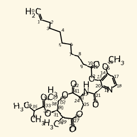 C=CCCCCCCCCC(=O)Oc1c(OC)ccnc1C(=O)N[C@H]1COC(=O)C(C)[C@@H](OC(=O)C(C)C)[C@H](C)OC1=O